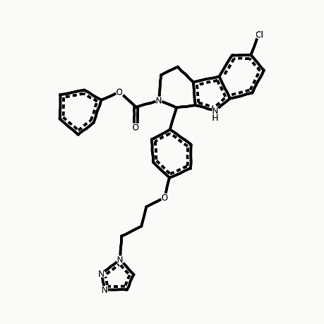 O=C(Oc1ccccc1)N1CCc2c([nH]c3ccc(Cl)cc23)C1c1ccc(OCCCn2ccnn2)cc1